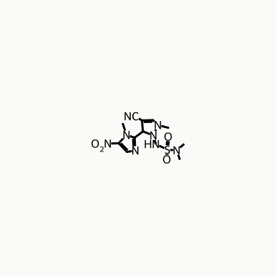 CN1C=C(C#N)C(c2ncc([N+](=O)[O-])n2C)N1NS(=O)(=O)N(C)C